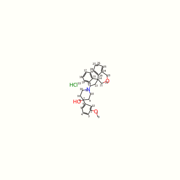 COc1cccc(C2(O)CCN(CCC3(c4ccccc4)COCc4ccccc43)CC2)c1.Cl